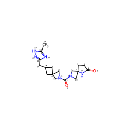 O=C1CCC2(CN(C(=O)N3CC4(CC(Cc5n[nH]c(C(F)(F)F)n5)C4)C3)C2)N1